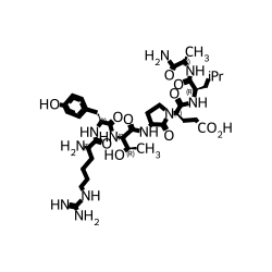 CC(C)C[C@@H](NC(=O)[C@@H](CCC(=O)O)N1CCC(NC(=O)[C@H](NC(=O)[C@@H](Cc2ccc(O)cc2)NC(=O)[C@H](N)CCCCNC(=N)N)[C@@H](C)O)C1=O)C(=O)N[C@H](C)C(N)=O